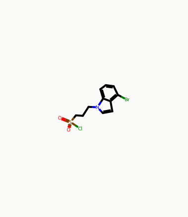 O=S(=O)(Cl)CCCn1ccc2c(Br)cccc21